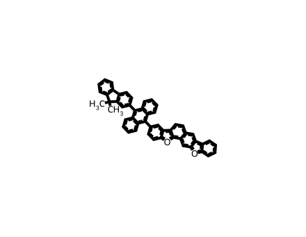 CC1(C)c2ccccc2-c2ccc(-c3c4ccccc4c(-c4ccc5oc6c7cc8oc9ccccc9c8cc7ccc6c5c4)c4ccccc34)cc21